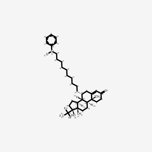 C[C@]12CCC(=O)C=C1C[C@@H](CCCCCCCCCC[S+]([O-])c1ccccc1)[C@@H]1[C@@H]2CC[C@@]2(C)[C@H]1CC[C@@]2(O)C(F)(F)C(F)(F)F